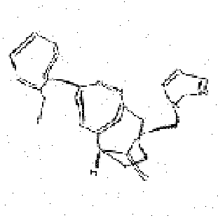 C=C1[C@@H]2CC[C@@]1(Cn1cccn1)c1nnc(-c3ccccc3F)cc12